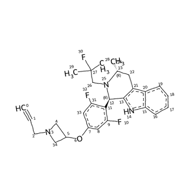 C#CCN1CC(Oc2cc(F)c([C@@H]3c4[nH]c5ccccc5c4C[C@@H](C)N3CC(C)(C)F)c(F)c2)C1